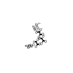 O.O.O.O.O.O.O=C([O-])C(=O)[O-].O=C([O-])C(=O)[O-].O=C([O-])C(=O)[O-].[Cr+3].[Cr+3]